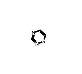 C1=NC=CSN=1